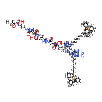 CC(=O)N(O)CCCCCNC(=O)CCC(=O)N(O)CCCCCNC(=O)CCC(=O)N(O)CCCCCN(C/C(=C/N)N(N)CCCCCCCCCC[P+](c1ccccc1)(c1ccccc1)c1ccccc1)Cc1cnnn1CCCCCCCCCC[P+](c1ccccc1)(c1ccccc1)c1ccccc1